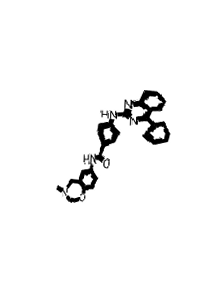 CN1CCOc2ccc(NC(=O)c3ccc(Nc4nc(-c5ccccc5)c5ccccc5n4)cc3)cc2C1